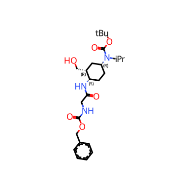 CC(C)N(C(=O)OC(C)(C)C)[C@@H]1CC[C@H](NC(=O)CNC(=O)OCc2ccccc2)[C@H](CO)C1